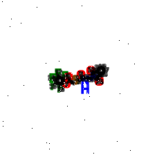 O=C(CSCC(=O)Oc1c(F)c(F)c(F)c(F)c1F)NCCN1C(=O)c2ccccc2C1=O